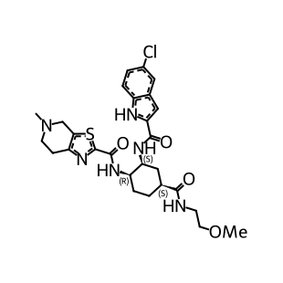 COCCNC(=O)[C@H]1CC[C@@H](NC(=O)c2nc3c(s2)CN(C)CC3)[C@@H](NC(=O)c2cc3cc(Cl)ccc3[nH]2)C1